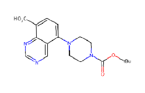 CC(C)(C)OC(=O)N1CCN(c2ccc(C(=O)O)c3ncncc23)CC1